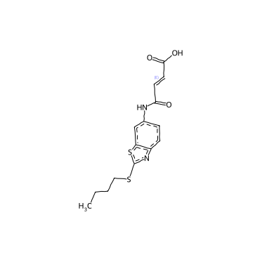 CCCCSc1nc2ccc(NC(=O)/C=C/C(=O)O)cc2s1